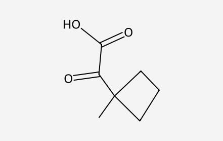 CC1(C(=O)C(=O)O)CCC1